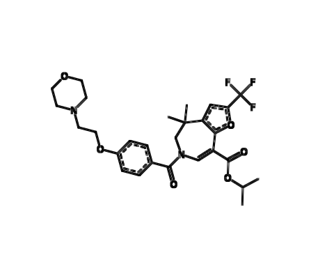 CC(C)OC(=O)C1=CN(C(=O)c2ccc(OCCN3CCOCC3)cc2)CC(C)(C)c2cc(C(F)(F)F)oc21